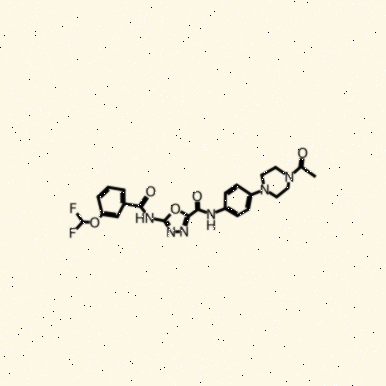 CC(=O)N1CCN(c2ccc(NC(=O)c3nnc(NC(=O)c4cccc(OC(F)F)c4)o3)cc2)CC1